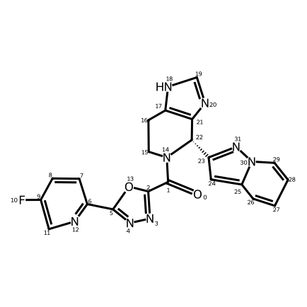 O=C(c1nnc(-c2ccc(F)cn2)o1)N1CCc2[nH]cnc2[C@@H]1c1cc2ccccn2n1